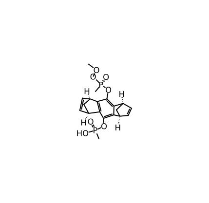 COOP(C)(=O)Oc1c2c(c(OP(C)(=O)O)c3c1[C@H]1C=C[C@@H]3C1)[C@H]1C=C[C@@H]2C1